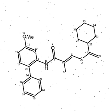 C=C(S/C=C(\C)C(=O)Nc1cc(OC)ccc1-c1ccccc1)C1CCCCC1